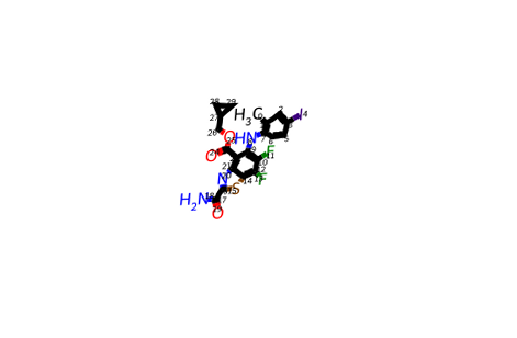 Cc1cc(I)ccc1Nc1c(F)c(F)c2sc(C(N)=O)nc2c1C(=O)OCC1CC1